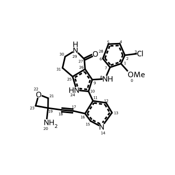 COc1c(Cl)cccc1Nc1c(-c2ccncc2C#CC2(N)COC2)[nH]c2c1C(=O)NCC2